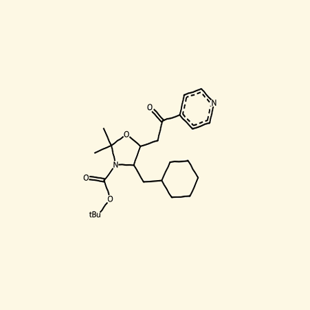 CC(C)(C)OC(=O)N1C(CC2CCCCC2)C(CC(=O)c2ccncc2)OC1(C)C